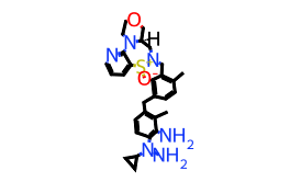 Cc1ccc(Cc2ccc(N(N)C3CC3)c(N)c2C)cc1CN1C[C@@H]2COCCN2c2ncccc2[S+]1[O-]